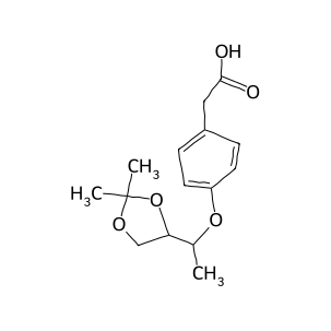 CC(Oc1ccc(CC(=O)O)cc1)C1COC(C)(C)O1